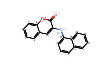 O=c1oc2ccccc2cc1Nc1cccc2ccccc12